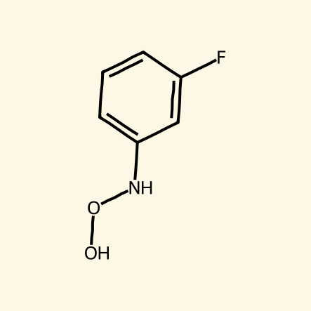 OONc1cccc(F)c1